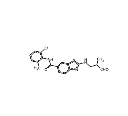 Cc1cccc(Cl)c1NC(=O)c1ccc2nc(NCC(C)C=O)sc2c1